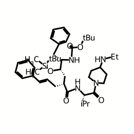 CCNC1CCN(C(=O)[C@@H](NC(=O)[C@H](CC=Cc2ccccc2)C[C@H](O[Si](C)(C)C(C)(C)C)[C@H](Cc2ccccc2)NC(=O)OC(C)(C)C)C(C)C)CC1